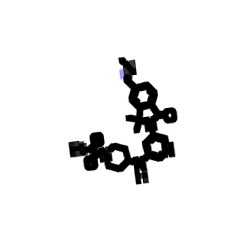 CCS(=O)(=O)N1CCC(Nc2cncc(N3C(=O)c4ccc(/C=N/C)cc4C3(C)C)c2)CC1